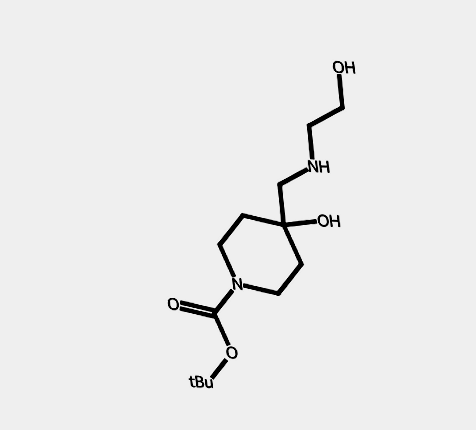 CC(C)(C)OC(=O)N1CCC(O)(CNCCO)CC1